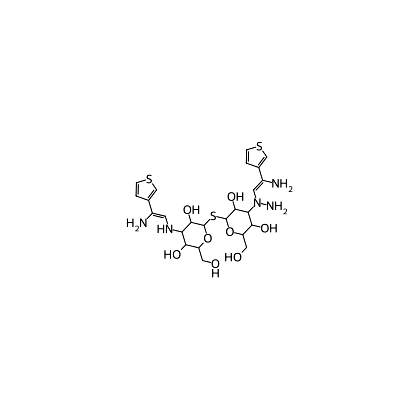 N/C(=C\NC1C(O)C(CO)OC(SC2OC(CO)C(O)C(N(N)/C=C(\N)c3ccsc3)C2O)C1O)c1ccsc1